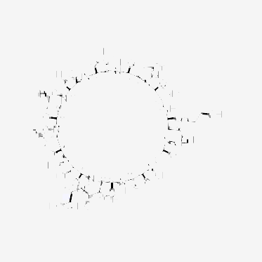 C=CCO[C@H](C)[C@H]1C(=O)N[C@@H](C(C)C)C(=O)N(C)[C@@H](CC(C)C)C(=O)N[C@@H](C)C(=O)N[C@H](C)C(=O)N(C)[C@@H](CC(C)C)C(=O)N(C)[C@@H](CC(C)C)C(=O)N(C)C(C(C)C)C(=O)N(C)[C@@H]([C@H](O)[C@H](C)C/C=C/C)C(=O)N[C@@H](CC)C(=O)N(C)CC(=O)N1C